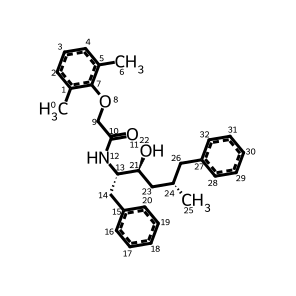 Cc1cccc(C)c1OCC(=O)N[C@@H](Cc1ccccc1)[C@@H](O)C[C@@H](C)Cc1ccccc1